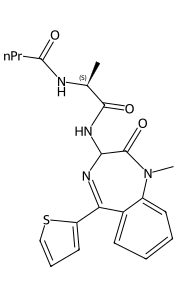 CCCC(=O)N[C@@H](C)C(=O)NC1N=C(c2cccs2)c2ccccc2N(C)C1=O